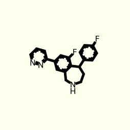 Fc1ccc(C2CCNCc3cc(-c4cccnn4)cc(F)c32)cc1